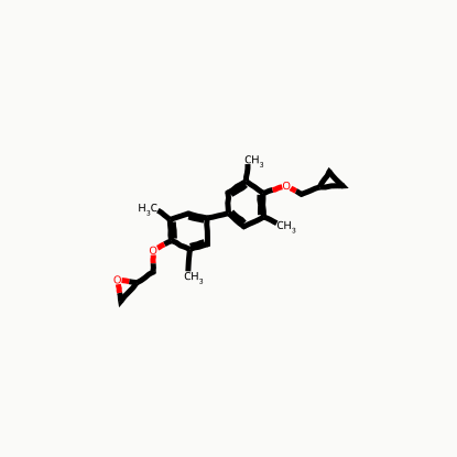 Cc1cc(-c2cc(C)c(OCC3CO3)c(C)c2)cc(C)c1OCC1CC1